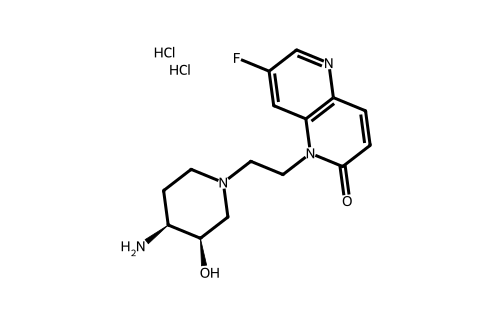 Cl.Cl.N[C@H]1CCN(CCn2c(=O)ccc3ncc(F)cc32)C[C@H]1O